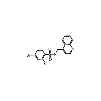 O=S(=O)(NCc1ccnc2ccccc12)c1ccc(Br)cc1Cl